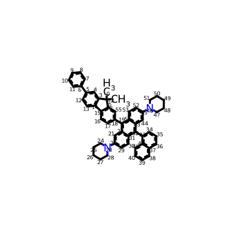 CC1(C)c2cc(-c3ccccc3)ccc2-c2ccc(-c3c4cc(N5CCCCC5)ccc4c(-c4cccc5ccccc45)c4cc(N5CCCCC5)ccc34)cc21